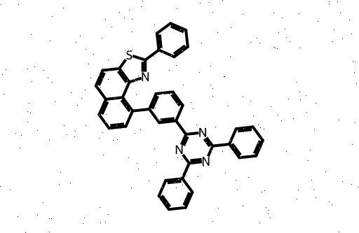 c1ccc(-c2nc(-c3ccccc3)nc(-c3cccc(-c4cccc5ccc6sc(-c7ccccc7)nc6c45)c3)n2)cc1